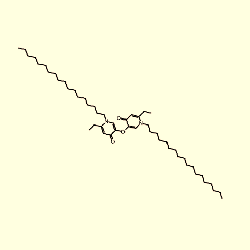 CCCCCCCCCCCCCCCCCCn1cc(Oc2cn(CCCCCCCCCCCCCCCCCC)c(CC)cc2=O)c(=O)cc1CC